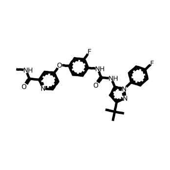 CNC(=O)c1cc(Oc2ccc(NC(=O)Nc3cc(C(C)(C)C)nn3-c3ccc(F)cc3)c(F)c2)ccn1